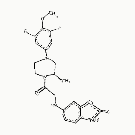 COc1c(F)cc(N2CCN(C(=O)CNc3ccc4[nH]c(=O)oc4c3)[C@H](C)C2)cc1F